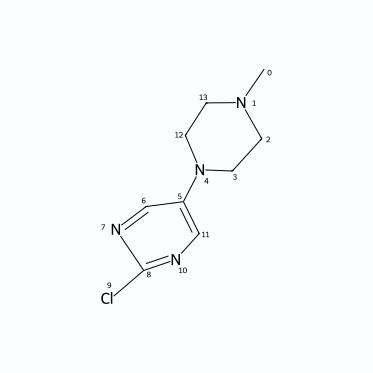 CN1CCN(c2cnc(Cl)nc2)CC1